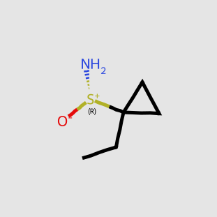 CCC1([S@@+](N)[O-])CC1